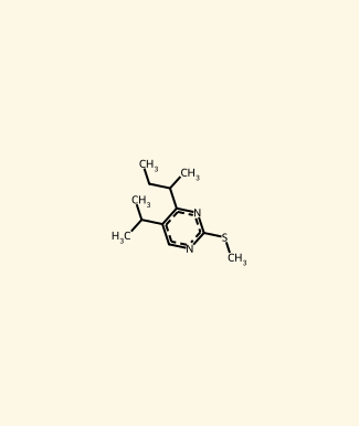 CCC(C)c1nc(SC)ncc1C(C)C